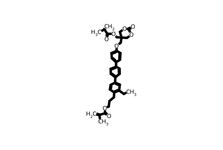 C=C(C)C(=O)OCCCc1ccc(-c2ccc(-c3ccc(OCC4(COC(=O)C(=C)C)COC(=O)OC4)cc3)cc2)cc1CC